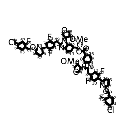 CO[C@H]1COC[C@H]1n1c(Cc2cc(F)c(-c3cccc(OCc4ccc(Cl)cc4F)n3)cc2F)nc2ccc(C(=O)OC(=O)c3ccc4nc(Cc5cc(F)c(-c6cccc(OCc7ccc(Cl)cc7F)n6)cc5F)n([C@@H]5COC[C@@H]5OC)c4c3)cc21